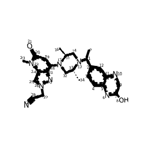 CC(c1ccc2nc(O)cnc2c1)N1C[C@H](C)N(c2cc(=O)n(C)c3cn(CC#N)nc23)C[C@H]1C